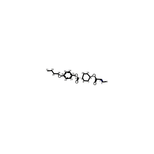 C/C=C/C(=O)O[C@H]1CC[C@H](C(=O)Oc2ccc(OCCCC)cc2)CC1